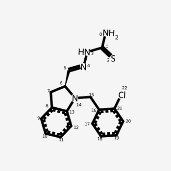 NC(=S)N/N=C/[C@@H]1Cc2ccccc2N1Cc1ccccc1Cl